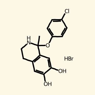 Br.CC1(Oc2ccc(Cl)cc2)NCCc2cc(O)c(O)cc21